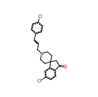 O=C1CC2(CCN(C/C=C/c3ccc(Cl)cc3)CC2)c2cc(Cl)ccc21